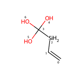 C=C[SiH2]C(O)(O)O